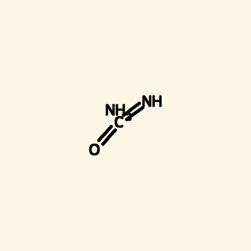 N.N=C=O